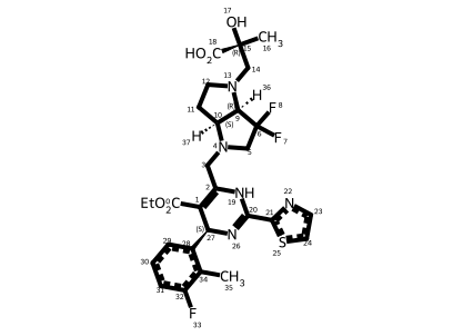 CCOC(=O)C1=C(CN2CC(F)(F)[C@H]3[C@@H]2CCN3C[C@@](C)(O)C(=O)O)NC(c2nccs2)=N[C@H]1c1cccc(F)c1C